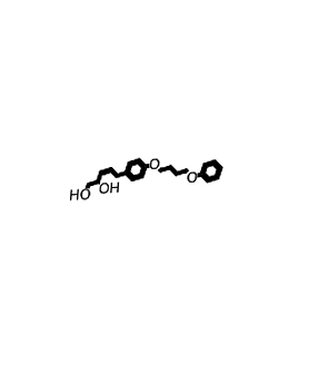 OC[C@@H](O)/C=C\Cc1ccc(OCCCCOc2ccccc2)cc1